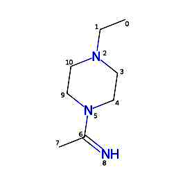 CCN1CCN(C(C)=N)CC1